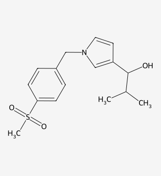 CC(C)C(O)c1ccn(Cc2ccc(S(C)(=O)=O)cc2)c1